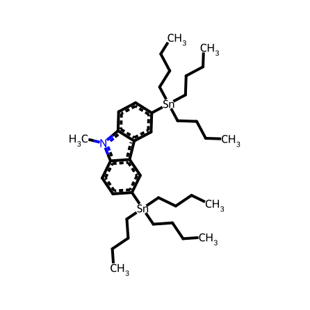 CCC[CH2][Sn]([CH2]CCC)([CH2]CCC)[c]1ccc2c(c1)c1c[c]([Sn]([CH2]CCC)([CH2]CCC)[CH2]CCC)ccc1n2C